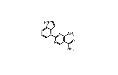 NC(=O)c1cnc(-c2cccc3[nH]ccc23)nc1N